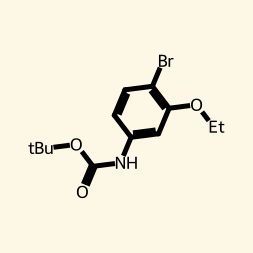 CCOc1cc(NC(=O)OC(C)(C)C)ccc1Br